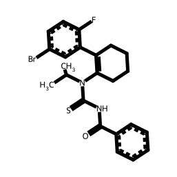 CC(C)N(C(=S)NC(=O)c1ccccc1)C1=C(c2cc(Br)ccc2F)CCCC1